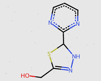 OCC1=NNC(c2ncccn2)S1